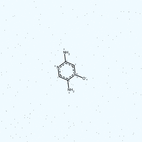 Nc1c[n+]([O-])c(N)cn1